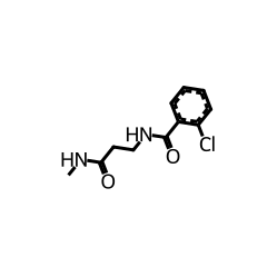 CNC(=O)CCNC(=O)c1ccccc1Cl